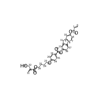 C=CC(=O)Oc1ccc2c(c1)Cc1cc(OC(=O)c3ccc(OCCCCOC(=O)C(=C)CO)cc3)ccc1-2